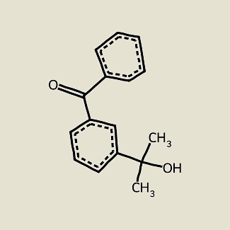 CC(C)(O)c1cccc(C(=O)c2ccccc2)c1